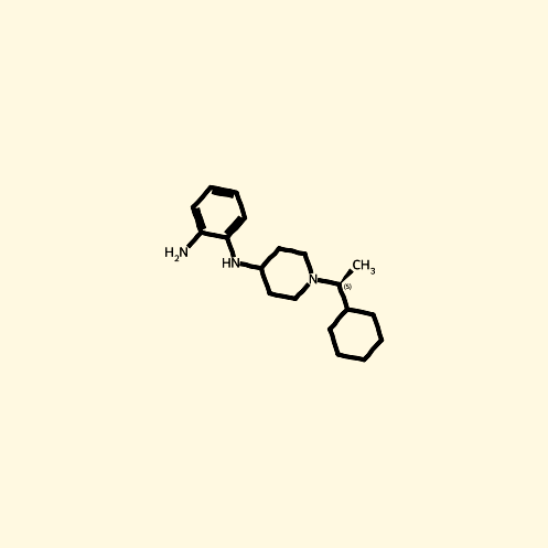 C[C@@H](C1CCCCC1)N1CCC(Nc2ccccc2N)CC1